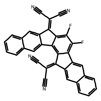 N#CC(C#N)=C1c2cc3ccccc3cc2-c2c1c(F)c(F)c1c2C(=C(C#N)C#N)c2cc3ccccc3cc2-1